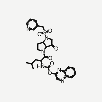 CC(C)CC(NC(=O)Oc1cnc2ccccc2n1)C(=O)N1CCC2C1C(=O)CN2S(=O)(=O)Cc1cccnc1